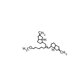 C=C1CC2CCC(CN(CCCCCOC)CC3CCC4CC(=C)C[C@@H]43)[C@H]2C1